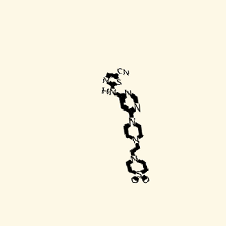 N#Cc1cnc(Nc2cc(N3CCN(CCN4CCS(=O)(=O)CC4)CC3)ncn2)s1